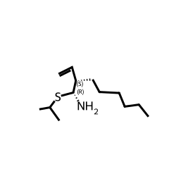 C=C[C@H](CCCCCC)[C@H](N)SC(C)C